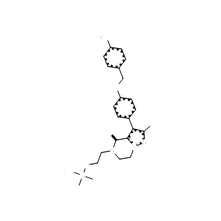 CC(C)c1ccc(COc2ccc(-c3c(Br)nn4c3C(=O)N(CCO[Si](C)(C)C(C)(C)C)CC4)cc2)cc1